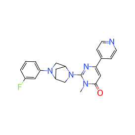 Cn1c(N2CC3CC2CN3c2cccc(F)c2)nc(-c2ccncc2)cc1=O